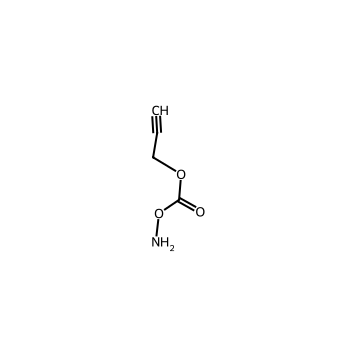 C#CCOC(=O)ON